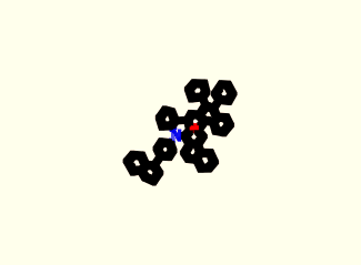 c1ccc(-c2c(-c3ccccc3)c3cc(-c4ccccc4N(c4ccc(-c5cccc6ccccc56)cc4)c4cccc5c4ccc4ccccc45)ccc3c3ccccc23)cc1